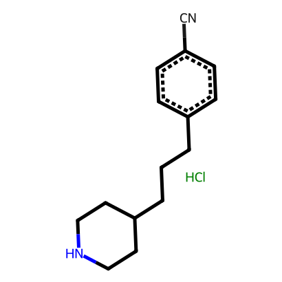 Cl.N#Cc1ccc(CCCC2CCNCC2)cc1